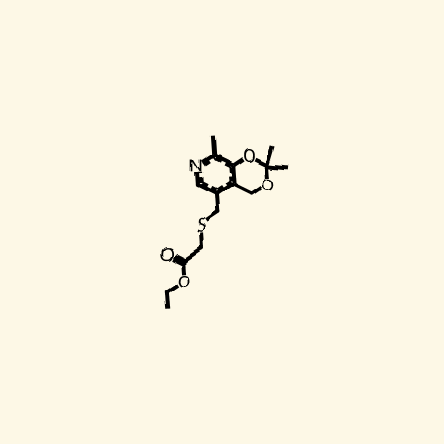 CCOC(=O)CSCc1cnc(C)c2c1COC(C)(C)O2